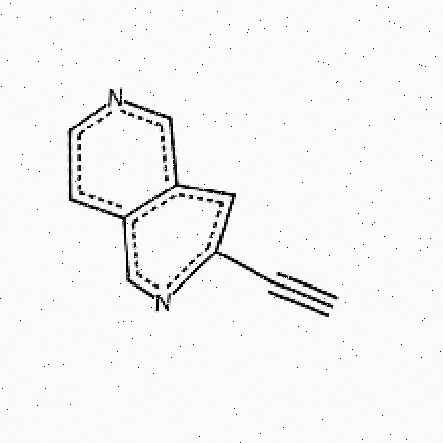 C#Cc1cc2cnccc2cn1